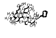 CC[C@H](C)[C@@H]([C@@H](CC(=O)N1CCC[C@H]1[C@H](OC)[C@@H](C)C(=O)NCCc1ccccc1)OC)N(C)C(=O)[C@@H](NC(=O)[C@H](C(C)C)N(C)CCCC(=O)O)C(C)C